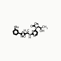 C[C@H](Nc1nccc(N2C(=O)OC[C@@H]2[C@@H](C)O)n1)c1nc(-c2cccc(C(C)(C)C)c2)no1